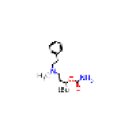 CN(CCc1ccccc1)CCC(OC(N)=O)C(C)(C)C